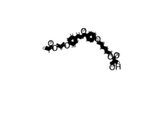 C=CC(=O)OCCCOc1ccc(/C=C/C(=O)c2ccc(OCCCCCCOC(=O)C(=C)CO)cc2)cc1